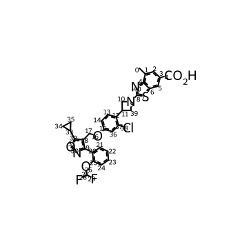 Cc1cc(C(=O)O)cc2sc(N3CC(c4ccc(OCc5c(-c6ccccc6OC(F)F)noc5C5CC5)cc4Cl)C3)nc12